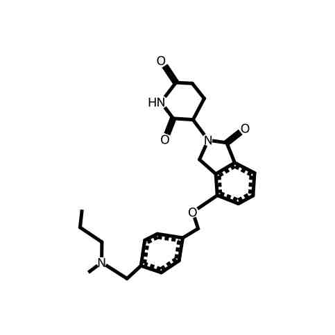 CCCN(C)Cc1ccc(COc2cccc3c2CN(C2CCC(=O)NC2=O)C3=O)cc1